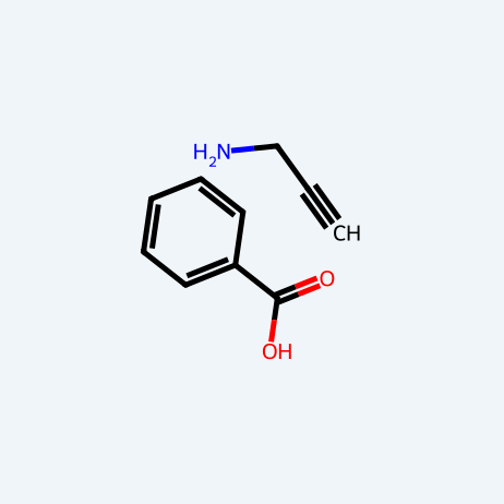 C#CCN.O=C(O)c1ccccc1